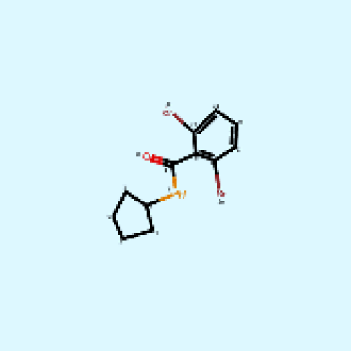 O=C(PC1CCCC1)c1c(Br)cccc1Br